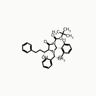 C[C@H](c1ccccc1)N1[C@@H]([C@H](O)CCc2ccccc2)C(=O)N(C(=O)OC(C)(C)C)[C@@H]1c1c(Cl)cccc1Cl